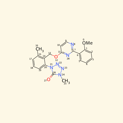 COc1ccccc1-c1nccc(OCc2c(C)cccc2-n2nnn(C)c2=O)n1